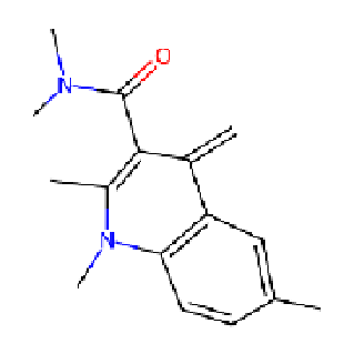 C=C1C(C(=O)N(C)C)=C(C)N(C)c2ccc(C)cc21